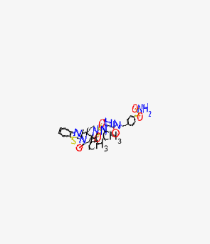 C[C@@H]1C(=O)N(c2nc3ccccc3s2)[C@H]2CCN(S(=O)(=O)N(C)CC(=O)NCc3ccc(S(N)(=O)=O)cc3)[C@H]12